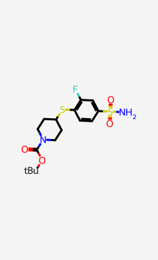 CC(C)(C)OC(=O)N1CCC(Sc2ccc(S(N)(=O)=O)cc2F)CC1